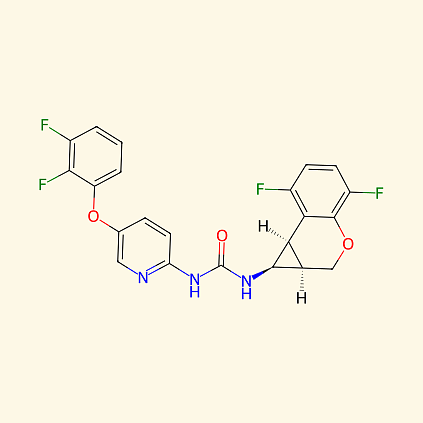 O=C(Nc1ccc(Oc2cccc(F)c2F)cn1)N[C@@H]1[C@@H]2COc3c(F)ccc(F)c3[C@@H]21